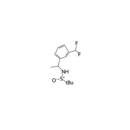 CC(N[S+]([O-])C(C)(C)C)c1cccc(C(F)F)c1